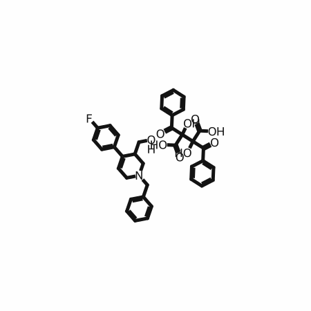 O=C(O)C(O)(C(=O)c1ccccc1)C(O)(C(=O)O)C(=O)c1ccccc1.OCC1CN(Cc2ccccc2)CC=C1c1ccc(F)cc1